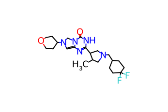 CC1CN(CC2CCC(F)(F)CC2)CC1C1=NC2=CN(C3CCOCC3)CN2C(=O)N1